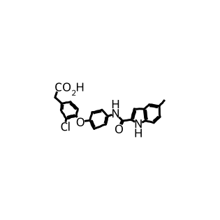 Cc1ccc2[nH]c(C(=O)Nc3ccc(Oc4ccc(CC(=O)O)cc4Cl)cc3)cc2c1